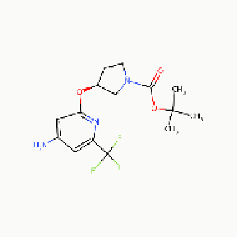 CC(C)(C)OC(=O)N1CC[C@H](Oc2cc(N)cc(C(F)(F)F)n2)C1